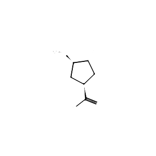 CO[C@@H]1C[C@H](C(=O)C(C)C)C[C@H]1C